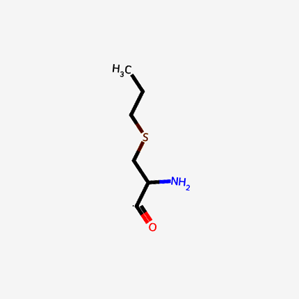 CCCSCC(N)[C]=O